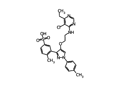 CCc1ncnc(NCCOc2cn(-c3ccc(C)cc3)nc2-c2cc(S(=O)(=O)O)ccc2C)c1Cl